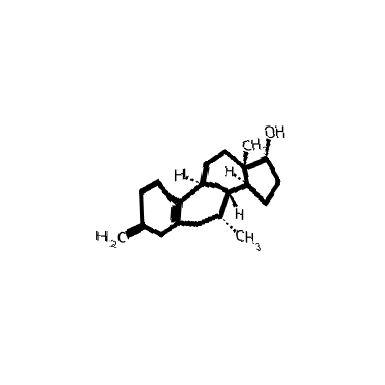 C=C1CCC2=C(C1)C[C@@H](C)[C@@H]1[C@@H]2CC[C@]2(C)[C@@H](O)CC[C@@H]12